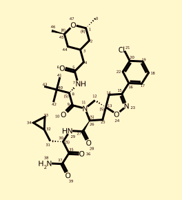 C[C@@H]1CC(CC(=O)N[C@H](C(=O)N2C[C@@]3(CC(c4cccc(Cl)c4)=NO3)C[C@H]2C(=O)N[C@@H](CC2CC2)C(=O)C(N)=O)C(C)(C)C)C[C@@H](C)O1